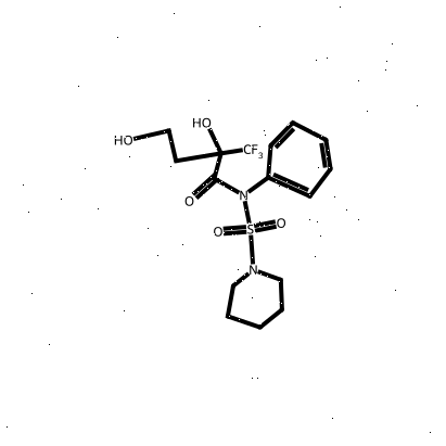 O=C(N(c1ccccc1)S(=O)(=O)N1CCCCC1)C(O)(CCO)C(F)(F)F